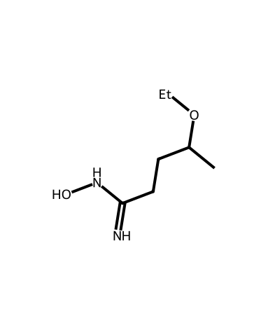 CCOC(C)CCC(=N)NO